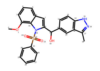 COc1cccc2cc(C(O)c3ccc4[nH]nc(C)c4c3)n(S(=O)(=O)c3ccccc3)c12